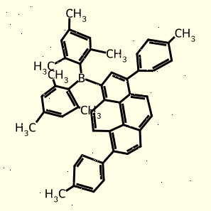 Cc1ccc(-c2ccc3ccc4c(-c5ccc(C)cc5)cc(B(c5c(C)cc(C)cc5C)c5c(C)cc(C)cc5C)c5ccc2c3c54)cc1